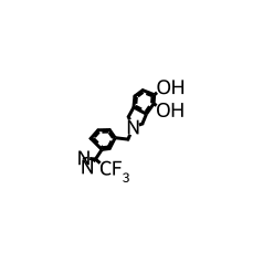 Oc1ccc2c(c1O)CN(Cc1cccc(C3(C(F)(F)F)N=N3)c1)C2